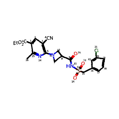 CCOC(=O)c1cc(C#N)c(N2CC(C(=O)NS(=O)(=O)Cc3cccc(Cl)c3)C2)nc1C